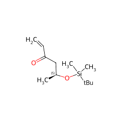 C=CC(=O)C[C@H](C)O[Si](C)(C)C(C)(C)C